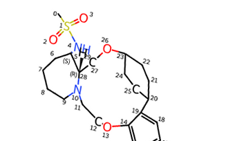 CS(=O)(=O)N[C@H]1CCCCN2CCOc3ccccc3C3CCC(CC3)OC[C@@H]12